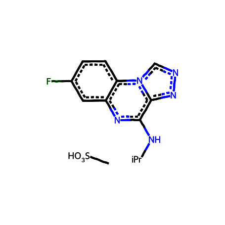 CC(C)Nc1nc2cc(F)ccc2n2cnnc12.CS(=O)(=O)O